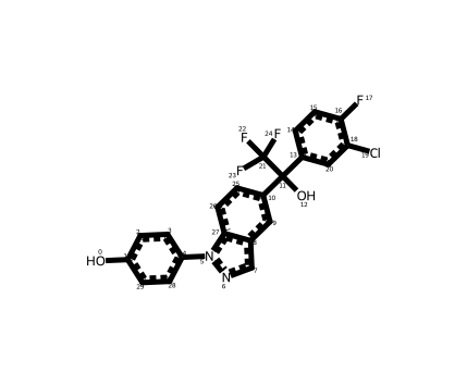 Oc1ccc(-n2ncc3cc(C(O)(c4ccc(F)c(Cl)c4)C(F)(F)F)ccc32)cc1